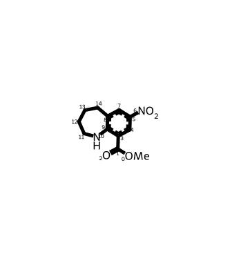 COC(=O)c1cc([N+](=O)[O-])cc2c1NCCCC2